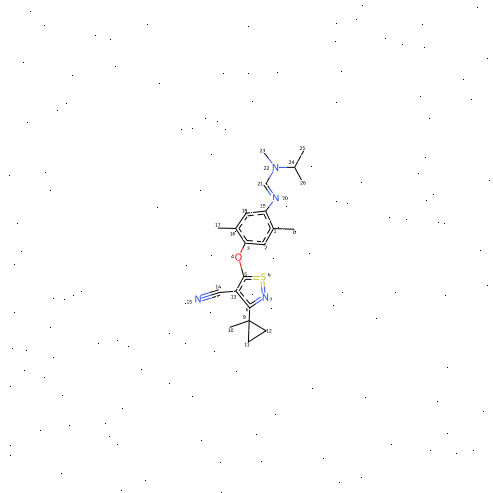 Cc1cc(Oc2snc(C3(C)CC3)c2C#N)c(C)cc1N=CN(C)C(C)C